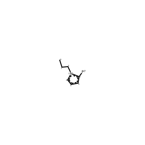 CCCn1cccc1[P]